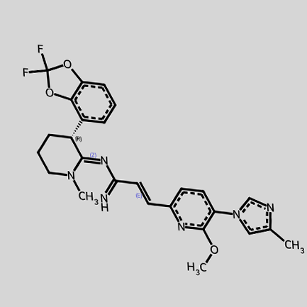 COc1nc(/C=C/C(=N)/N=C2/[C@@H](c3cccc4c3OC(F)(F)O4)CCCN2C)ccc1-n1cnc(C)c1